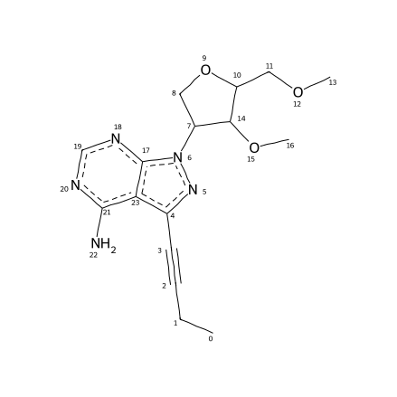 CCC#Cc1nn(C2COC(COC)C2OC)c2ncnc(N)c12